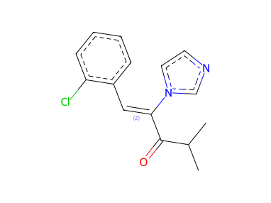 CC(C)C(=O)/C(=C/c1ccccc1Cl)n1ccnc1